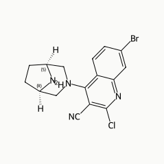 [2H]N1[C@@H]2CC[C@H]1CN(c1c(C#N)c(Cl)nc3cc(Br)ccc13)C2